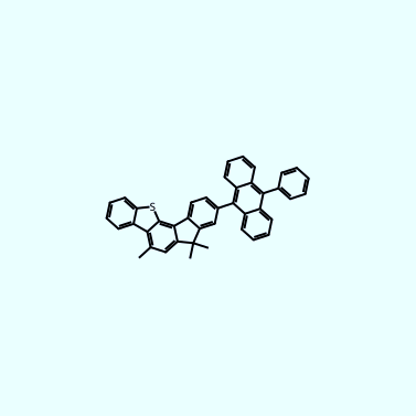 Cc1cc2c(c3sc4ccccc4c13)-c1ccc(-c3c4ccccc4c(-c4ccccc4)c4ccccc34)cc1C2(C)C